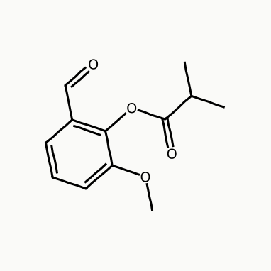 COc1cccc(C=O)c1OC(=O)C(C)C